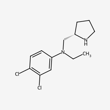 CCN(C[C@@H]1CCCN1)c1ccc(Cl)c(Cl)c1